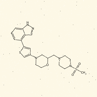 CS(=O)(=O)N1CCN(CC2CN(c3csc(-c4cccc5[nH]ncc45)c3)CCO2)CC1